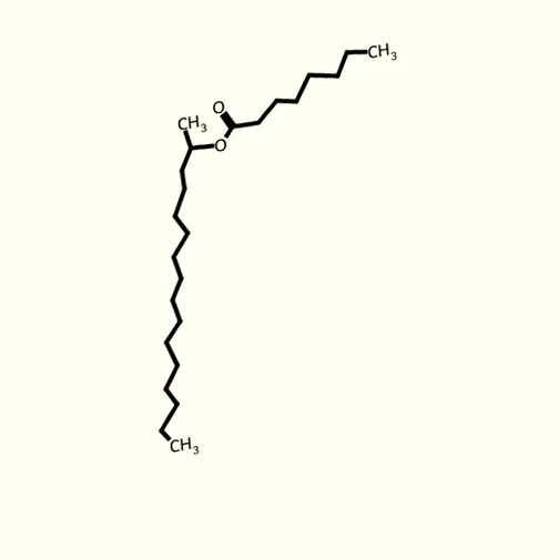 CCCCCCCCCCCCCCC(C)OC(=O)CCCCCCC